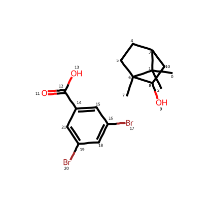 CC1(C)C2CCC1(C)C(O)C2.O=C(O)c1cc(Br)cc(Br)c1